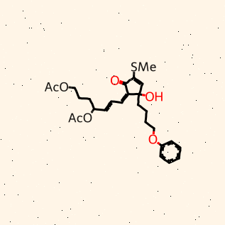 CSC1=CC(O)(CCCCOc2ccccc2)/C(=C/C=C/C(CCCOC(C)=O)OC(C)=O)C1=O